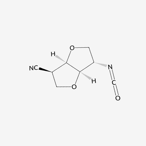 N#C[C@@H]1CO[C@H]2[C@@H]1OC[C@@H]2N=C=O